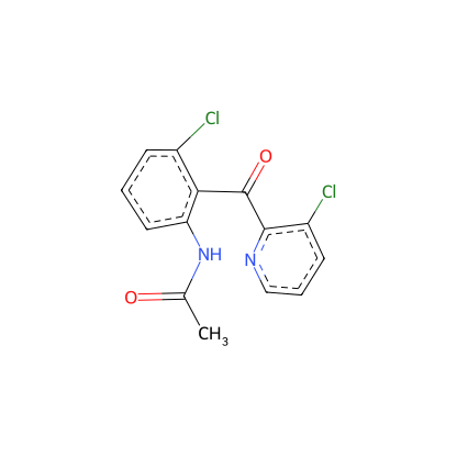 CC(=O)Nc1cccc(Cl)c1C(=O)c1ncccc1Cl